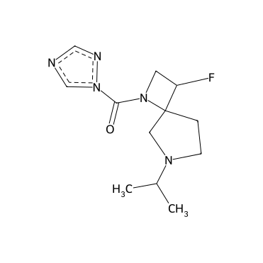 CC(C)N1CCC2(C1)C(F)CN2C(=O)n1cncn1